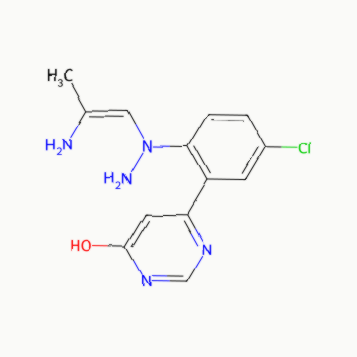 C/C(N)=C/N(N)c1ccc(Cl)cc1-c1cc(O)ncn1